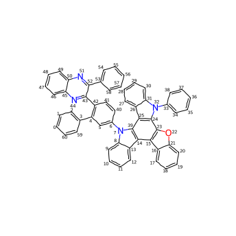 c1ccc(-c2cc(-n3c4ccccc4c4c5c6ccccc6oc5c5c(c6ccccc6n5-c5ccccc5)c43)ccc2-c2nc3ccccc3nc2-c2ccccc2)cc1